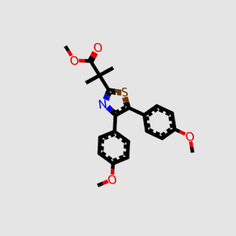 COC(=O)C(C)(C)c1nc(-c2ccc(OC)cc2)c(-c2ccc(OC)cc2)s1